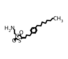 CCCCCCCCc1ccc(CCC=C2SC(=O)N(CCN)C2=O)cc1